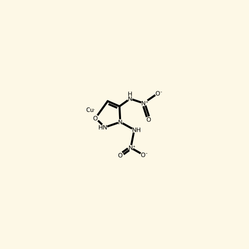 O=[N+]([O-])NC1=CONN1N[N+](=O)[O-].[Cu]